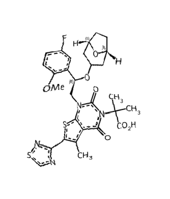 COc1ccc(F)cc1[C@H](Cn1c(=O)n(C(C)(C)C(=O)O)c(=O)c2c(C)c(-c3ncsn3)sc21)OC1C[C@H]2CC[C@@H](C1)O2